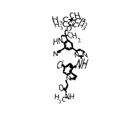 CNC(=O)CCn1ccc2c(Nc3nccc(-c4cc(C#N)c5c(c4)C(C)(CO[Si](C)(C)C(C)(C)C)CN5)n3)cc(Cl)cc21